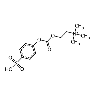 C[N+](C)(C)CCOC(=O)Oc1ccc(S(=O)(=O)O)cc1